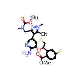 COC(=O)c1ccc(F)cc1C(CF)Oc1cc(-c2c(CN(C)C(=O)OC(C)(C)C)nn(C)c2C#N)cnc1N